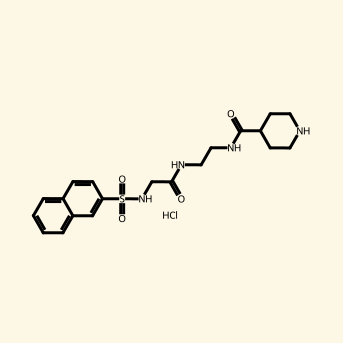 Cl.O=C(CNS(=O)(=O)c1ccc2ccccc2c1)NCCNC(=O)C1CCNCC1